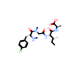 CC[C@@H](C)[C@H](NC(=O)CN(C)C(=O)[C@@H](Cc1ccc(Cl)cc1)NC)C(=O)N[C@H](C)C(=O)O